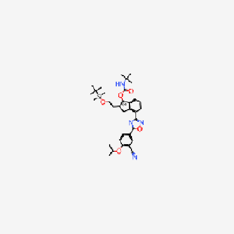 CC(C)Oc1ccc(-c2nc(-c3cccc4c3CC(CCO[Si](C)(C)C(C)(C)C)[C@H]4OC(=O)NC(C)(C)C)no2)cc1C#N